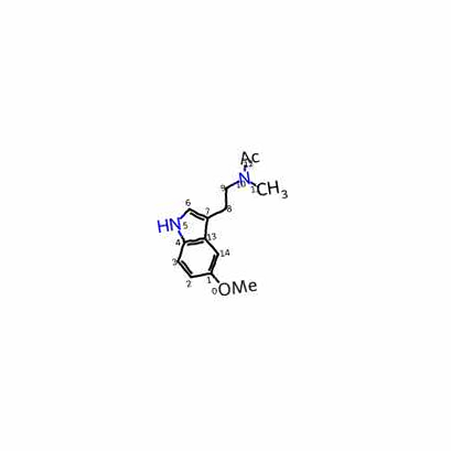 COc1ccc2[nH]cc(CCN(C)C(C)=O)c2c1